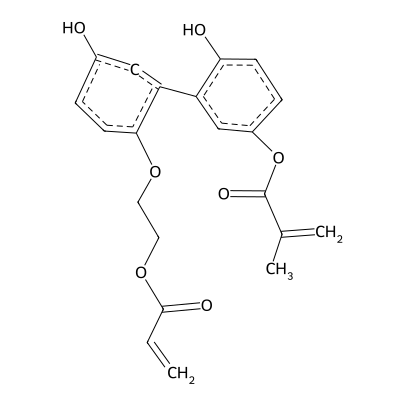 C=CC(=O)OCCOc1ccc(O)cc1-c1cc(OC(=O)C(=C)C)ccc1O